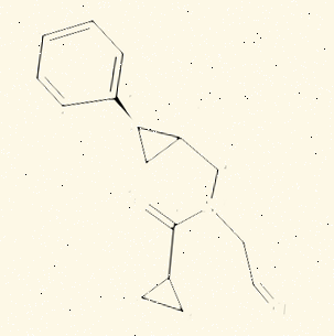 C=CCN(C[C@@]1(C)C[C@H]1c1ccccc1)C(=O)C1CC1